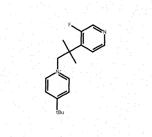 CC(C)(C)c1cc[n+](CC(C)(C)c2ccncc2F)cc1